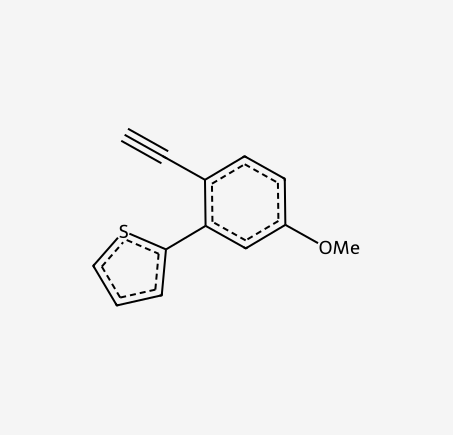 C#Cc1ccc(OC)cc1-c1cccs1